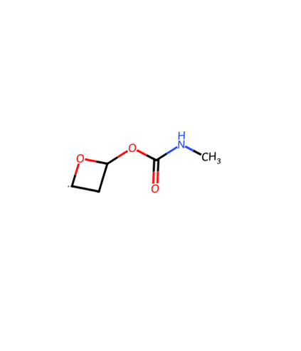 CNC(=O)OC1C[CH]O1